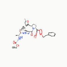 Cc1ccc([C@H]2CC[C@@H](C(=O)OCc3ccccc3)N2C(=O)[C@@H](NC(=O)[C@H](C)NC(=O)OC(C)(C)C)C(C)C)o1